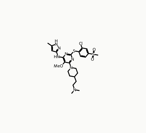 COc1c(Nc2cc(C)[nH]n2)nc(Sc2ccc(S(C)(=O)=O)cc2Cl)nc1N1CCC(CCN(C)C)CC1